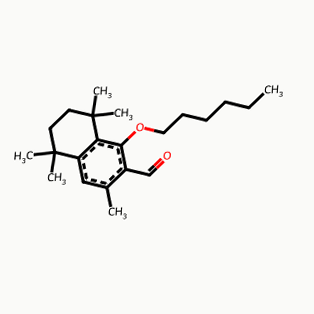 CCCCCCOc1c(C=O)c(C)cc2c1C(C)(C)CCC2(C)C